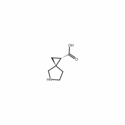 O=C(O)[C@H]1C[C@]12CCNC2